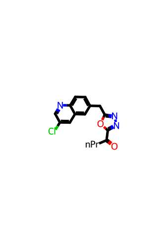 CCCC(=O)c1nnc(Cc2ccc3ncc(Cl)cc3c2)o1